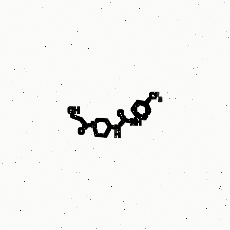 O=C(Nc1ccc(C(F)(F)F)cc1)NC1CCN(C(=O)CCO)CC1